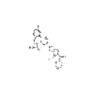 Cn1c(C(=O)N2CCOCC2)nc2c1CN([C@H]1CO[C@H](c3cc(F)ccc3F)[C@@H](NC(=O)O)C1)C2